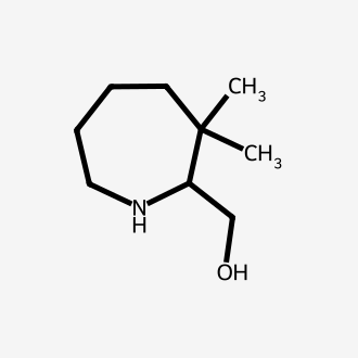 CC1(C)CCCCNC1CO